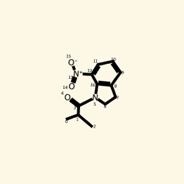 CC(C)C(=O)N1CCc2cccc([N+](=O)[O-])c21